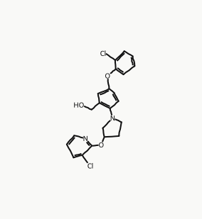 OCc1cc(Oc2ccccc2Cl)ccc1N1CCC(Oc2ncccc2Cl)C1